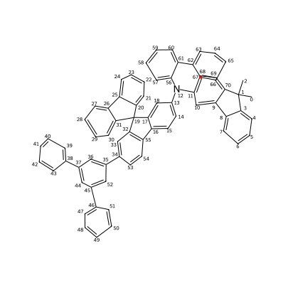 CC1(C)c2ccccc2-c2cc(N(c3ccc4c(c3)C3(c5ccccc5-c5ccccc53)c3cc(-c5cc(-c6ccccc6)cc(-c6ccccc6)c5)ccc3-4)c3ccccc3-c3ccccc3)ccc21